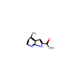 COC(=O)c1cc2c(C)ccnc2[nH]1